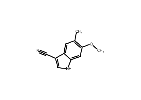 COc1cc2[nH]cc(C#N)c2cc1C